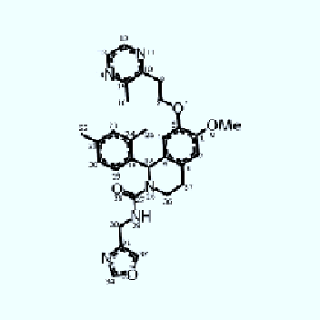 COc1cc2c(cc1OCCc1nccnc1C)C(c1ccc(C)cc1C)N(C(=O)NCc1cocn1)CC2